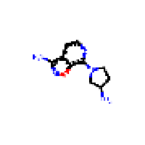 Nc1noc2c(N3CCC(N)C3)nccc12